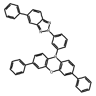 c1ccc(-c2ccc3c(c2)Oc2cc(-c4ccccc4)ccc2N3c2cccc(-n3nc4ccc(-c5ccccc5)cc4n3)c2)cc1